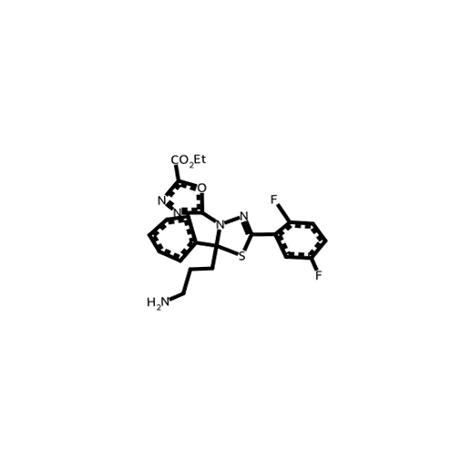 CCOC(=O)c1nnc(N2N=C(c3cc(F)ccc3F)SC2(CCCN)c2ccccc2)o1